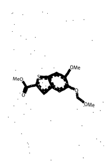 COCOc1cc2cc(C(=O)OC)sc2cc1OC